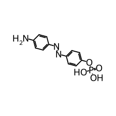 Nc1ccc(N=Nc2ccc(OP(=O)(O)O)cc2)cc1